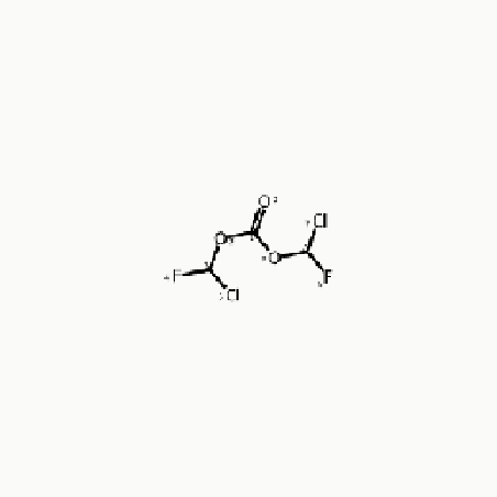 O=C(OC(F)Cl)OC(F)Cl